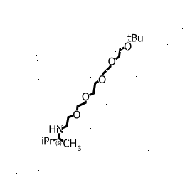 CC(C)[C@H](C)NCCOCCOCCOCCOCCOC(C)(C)C